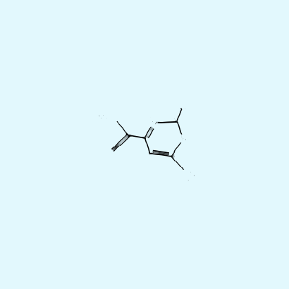 COC(=O)C1=NC(C)NC(C#N)=C1